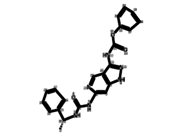 C[C@@H](NC(=O)Nc1cc2[nH]nc(NC(=O)Oc3ccccc3)c2cn1)c1ccccc1